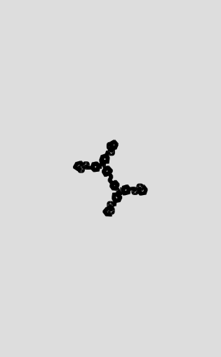 c1cc(N(c2ccc(COC3CCCCO3)cc2)c2ccc(COC3CCCCO3)cc2)ccc1CCc1ccc(N(c2ccc(COC3CCCCO3)cc2)c2ccc(COC3CCCCO3)cc2)cc1